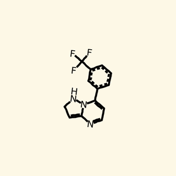 FC(F)(F)c1cccc(C2=CC=NC3=CCNN32)c1